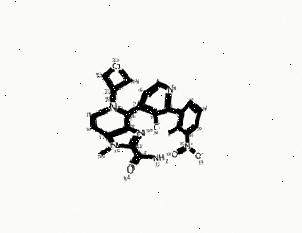 Cc1c(-c2nccc(C3c4nc(C(N)=O)n(C)c4CCN3C3COC3)c2Cl)cccc1[N+](=O)[O-]